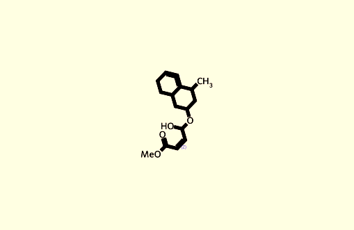 COC(=O)/C=C\C(O)OC1CC(C)C2=C=CCCC2C1